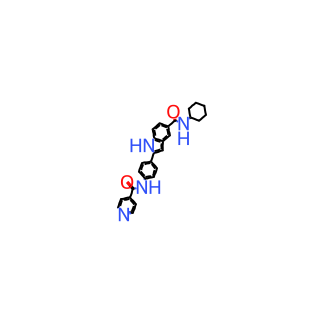 O=C(Nc1ccc(-c2cc3cc(C(=O)NC4CCCCC4)ccc3[nH]2)cc1)c1ccncc1